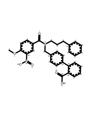 COc1ccc(C(=O)N(CCCc2ccccc2)Cc2ccc(-c3ccccc3C(=O)O)cc2)cc1[N+](=O)[O-]